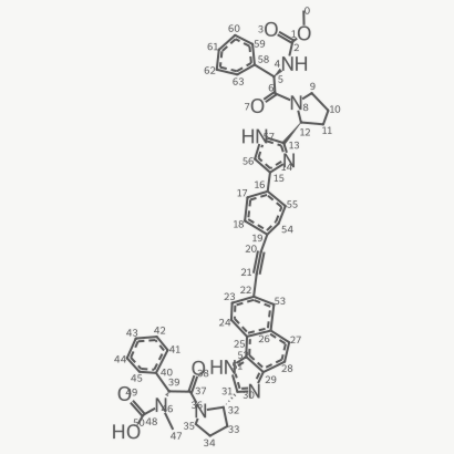 COC(=O)N[C@@H](C(=O)N1CCC[C@H]1c1nc(-c2ccc(C#Cc3ccc4c(ccc5nc([C@@H]6CCCN6C(=O)[C@@H](c6ccccc6)N(C)C(=O)O)[nH]c54)c3)cc2)c[nH]1)c1ccccc1